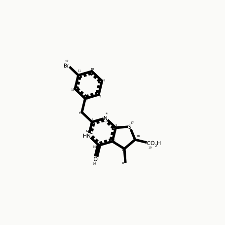 CC1c2c(nc(Cc3cccc(Br)c3)[nH]c2=O)SC1C(=O)O